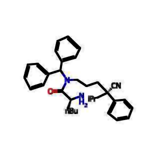 CCCC[C@H](N)C(=O)N(CCC[C@@](C#N)(c1ccccc1)C(C)C)C(c1ccccc1)c1ccccc1